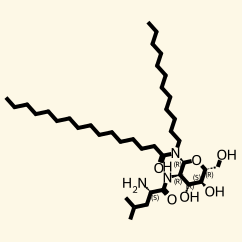 CCCCCCCCCCCCCCCC(=O)N(CCCCCCCCCCCC)[C@@H]1O[C@H](CO)[C@@H](O)[C@H](O)[C@H]1NC(=O)[C@@H](N)CC(C)C